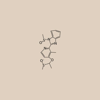 Cc1c(OC(C)[S+](C)[O-])ccnc1-c1nc2ccccc2n1[S+](C)[O-]